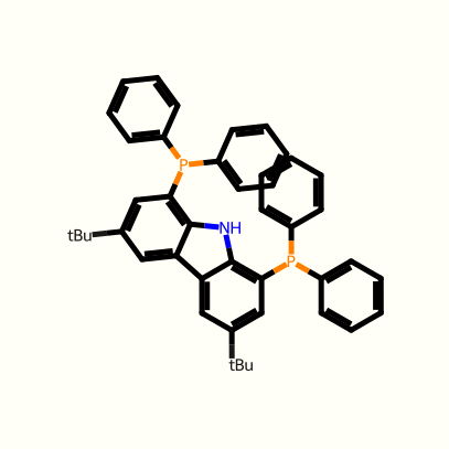 CC(C)(C)c1cc(P(c2ccccc2)c2ccccc2)c2[nH]c3c(P(c4ccccc4)c4ccccc4)cc(C(C)(C)C)cc3c2c1